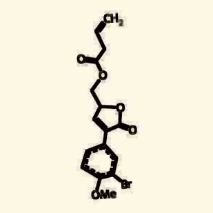 C=CCC(=O)OCC1C=C(c2ccc(OC)c(Br)c2)C(=O)O1